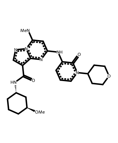 CNc1cc(Nc2cccn(C3CCOCC3)c2=O)nc2c(C(=O)N[C@H]3CCC[C@H](OC)C3)cnn12